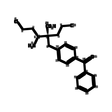 NN(CCCl)[C@@](CCCl)(Cc1ccc(C(=O)c2ccccc2)cc1)C(=O)O